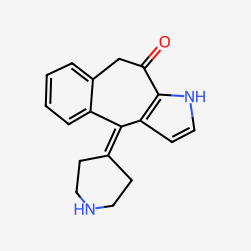 O=C1Cc2ccccc2C(=C2CCNCC2)c2cc[nH]c21